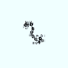 CC(C)c1cc(-c2nnc(O)n2-c2ccc(N3CCN(C(=O)N4CCC(n5cc(-c6cnc(N)c(OC(C)c7c(Cl)ccc(F)c7Cl)c6)cn5)CC4)CC3)cc2)c(O)cc1O